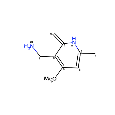 C=C1NC(C)=CC(OC)=C1CN